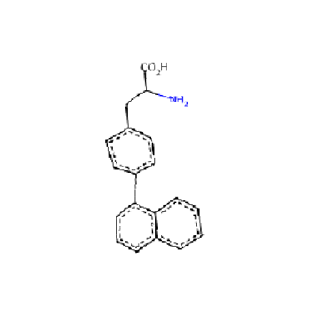 NC(Cc1ccc(-c2cccc3ccccc23)cc1)C(=O)O